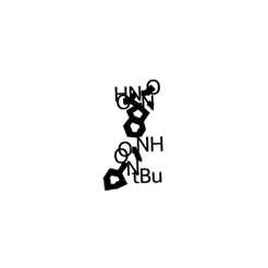 CN1C(=O)NC(=O)C12Cc1ccc(NC(=O)CN(C(=O)c3ccccc3)C(C)(C)C)cc1C2